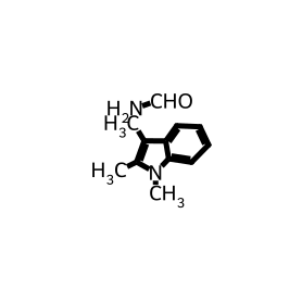 Cc1c(C)n(C)c2ccccc12.NC=O